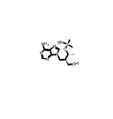 C[C@@H](O[Si](C)(C)C(C)(C)C)[C@@H](CO)Cn1cnc2c(N)ncnc21